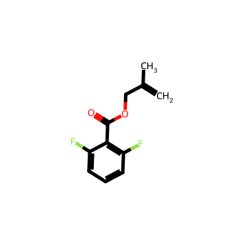 C=C(C)COC(=O)c1c(F)cccc1F